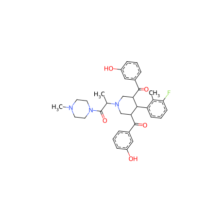 Cc1c(F)cccc1C1C(C(=O)c2cccc(O)c2)CN(C(C)C(=O)N2CCN(C)CC2)CC1C(=O)c1cccc(O)c1